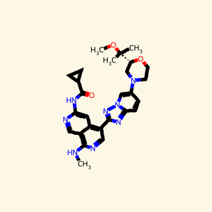 CNc1ncc(-c2nc3ccc(N4CCO[C@@H](C(C)(C)OC)C4)cn3n2)c2cc(NC(=O)C3CC3)ncc12